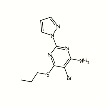 CCCSc1nc(-n2cccn2)nc(N)c1Br